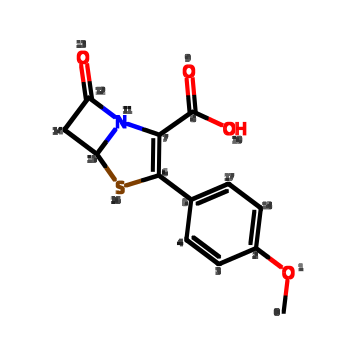 COc1ccc(C2=C(C(=O)O)N3C(=O)CC3S2)cc1